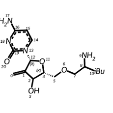 C=C1C(O)[C@@H](COCC(N)C(C)CC)O[C@H]1n1ccc(N)nc1=O